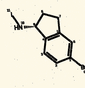 Brc1ccc2c(c1)CC[C@H]2NI